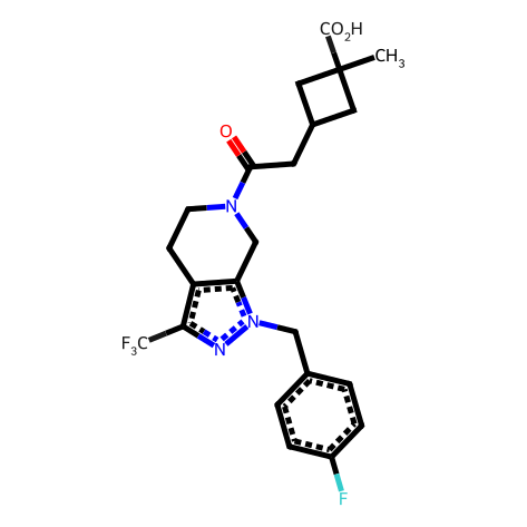 CC1(C(=O)O)CC(CC(=O)N2CCc3c(C(F)(F)F)nn(Cc4ccc(F)cc4)c3C2)C1